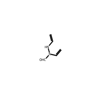 C=CNN(C=C)C=O